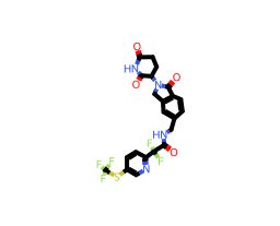 O=C1CCC(N2Cc3cc(CNC(=O)C(F)(F)c4ccc(SC(F)(F)F)cn4)ccc3C2=O)C(=O)N1